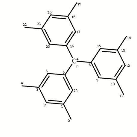 Cc1cc(C)cc([C+](c2cc(C)cc(C)c2)c2cc(C)cc(C)c2)c1